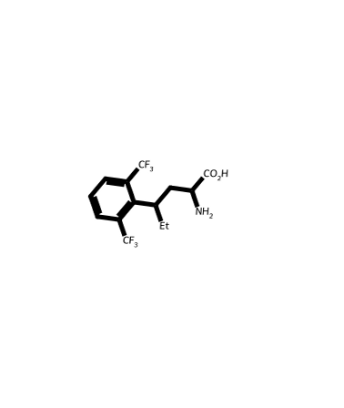 CCC(CC(N)C(=O)O)c1c(C(F)(F)F)cccc1C(F)(F)F